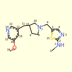 CNc1ncc(CN2CCC(Cc3cncc(OC)c3)C2)s1